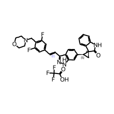 O=C(O)C(F)(F)F.O=C1Nc2ccccc2[C@]12C[C@H]2c1ccc2c(/C=C/c3cc(F)c(CN4CCOCC4)c(F)c3)n[nH]c2c1